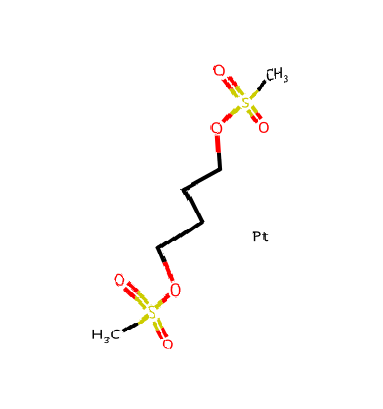 CS(=O)(=O)OCCCCOS(C)(=O)=O.[Pt]